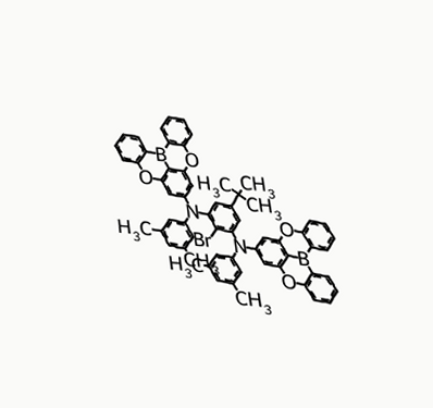 Cc1cc(C)cc(N(c2cc3c4c(c2)Oc2ccccc2B4c2ccccc2O3)c2cc(C(C)(C)C)cc(N(c3cc(C)cc(C)c3)c3cc4c5c(c3)Oc3ccccc3B5c3ccccc3O4)c2Br)c1